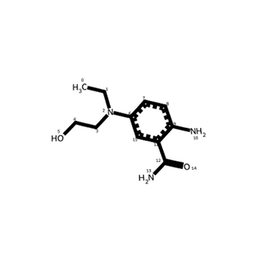 CCN(CCO)c1ccc(N)c(C(N)=O)c1